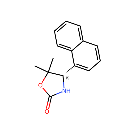 CC1(C)OC(=O)N[C@H]1c1cccc2ccccc12